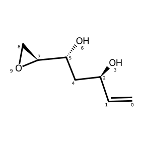 C=C[C@H](O)C[C@@H](O)[C@@H]1CO1